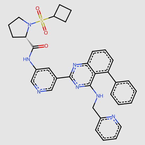 O=C(Nc1cncc(-c2nc(NCc3ccccn3)c3c(-c4ccccc4)cccc3n2)c1)[C@@H]1CCCN1S(=O)(=O)C1CCC1